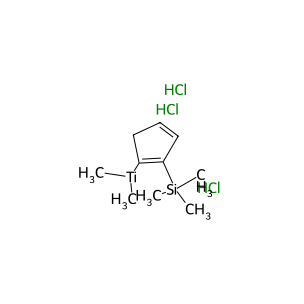 Cl.Cl.Cl.[CH3][Ti]([CH3])[C]1=C([Si](C)(C)C)C=CC1